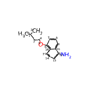 CC(C)CCOc1cccc2c(N)cccc12